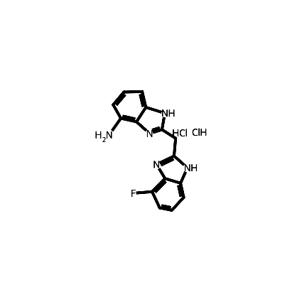 Cl.Cl.Nc1cccc2[nH]c(Cc3nc4c(F)cccc4[nH]3)nc12